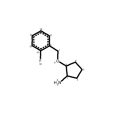 NC1CCCC1OCc1ccccc1F